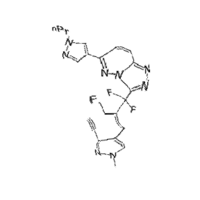 C#Cc1nn(C)cc1/C=C(\CF)C(F)(F)c1nnc2ccc(-c3cnn(CCC)c3)nn12